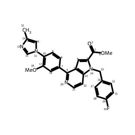 COC(=O)c1cc2c(-c3ccc(-n4cnc(C)c4)c(OC)c3)nccc2n1Cc1ccc(F)cc1